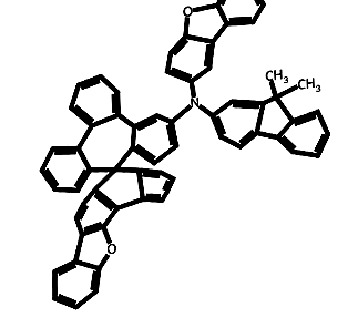 CC1(C)c2ccccc2-c2ccc(N(c3ccc4c(c3)-c3ccccc3-c3ccccc3C43c4ccccc4-c4c3ccc3c4oc4ccccc43)c3ccc4oc5ccccc5c4c3)cc21